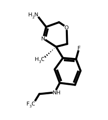 C[C@@]1(c2cc(NCC(F)(F)F)ccc2F)COCC(N)=N1